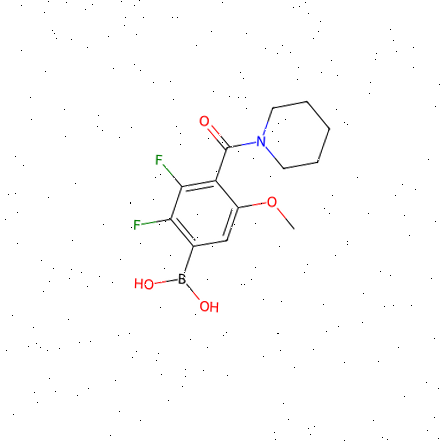 COc1cc(B(O)O)c(F)c(F)c1C(=O)N1CCCCC1